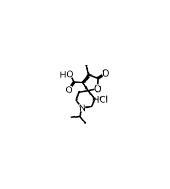 CC1=C(C(=O)O)C2(CCN(C(C)C)CC2)OC1=O.Cl